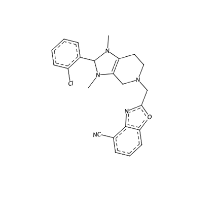 CN1C2=C(CN(Cc3nc4c(C#N)cccc4o3)CC2)N(C)C1c1ccccc1Cl